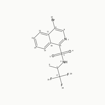 CC(NS(=O)(=O)c1ncc(Br)c2ccccc12)C(F)(F)F